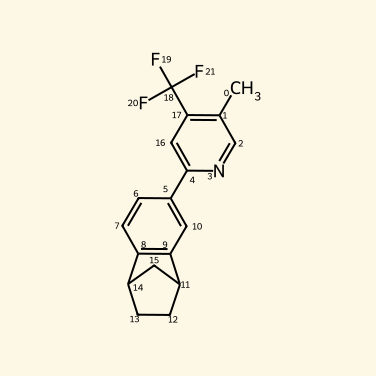 Cc1cnc(-c2ccc3c(c2)C2CCC3C2)cc1C(F)(F)F